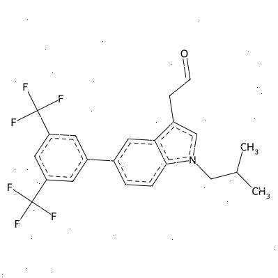 CC(C)Cn1cc(CC=O)c2cc(-c3cc(C(F)(F)F)cc(C(F)(F)F)c3)ccc21